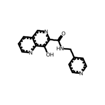 O=C(NCc1ccncc1)c1ncc2cccnc2c1O